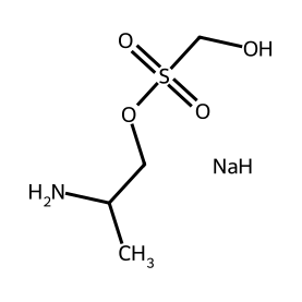 CC(N)COS(=O)(=O)CO.[NaH]